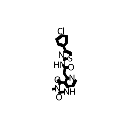 Cn1c(=O)[nH]c2ccnc(CC(=O)Nc3nc(-c4ccc(Cl)cc4)cs3)c2c1=O